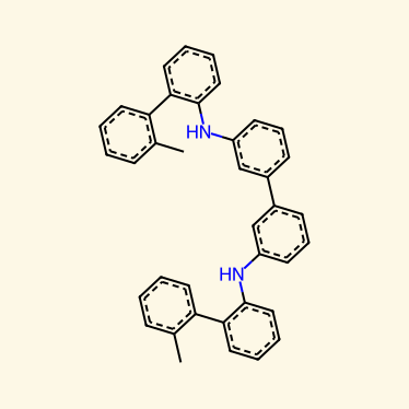 Cc1ccccc1-c1ccccc1Nc1cccc(-c2cccc(Nc3ccccc3-c3ccccc3C)c2)c1